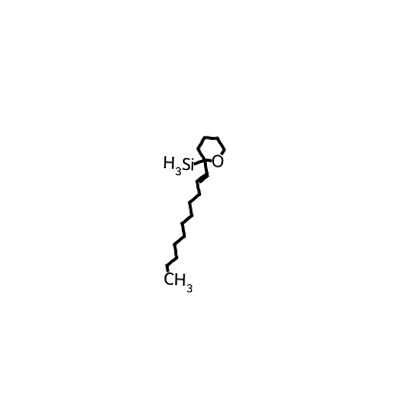 CCCCCCCCCC=CC1([SiH3])CCCCO1